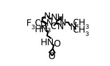 Cc1nn(CCN(C)C)cc1Nc1ncc(C(F)(F)F)c(NCCCNC(=O)C2COC2)n1